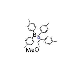 COCC/C(=C(\B(c1ccc(C)cc1)c1ccc(C)cc1)c1ccc(C)cc1)c1ccc(C)cc1